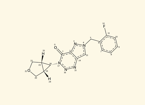 O=c1c2nn(Cc3ccccc3F)cc2nnn1[C@@H]1[C@@H]2COC[C@@H]21